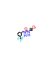 COC12CC(NC(=O)NCc3cccc(C(F)(F)F)c3)(C1)C2